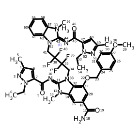 CCn1nc(C)cc1C(=O)N=c1n(C)c2cc(C(N)=O)cc(OCc3ccc(OC)cc3)c2n1CC(F)(F)C(F)(F)Cn1/c(=N/C(=O)c2cc(C)nn2CC)n(C)c2ccccc21